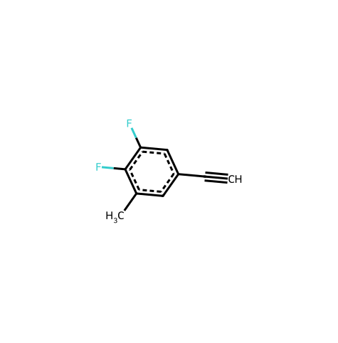 C#Cc1cc(C)c(F)c(F)c1